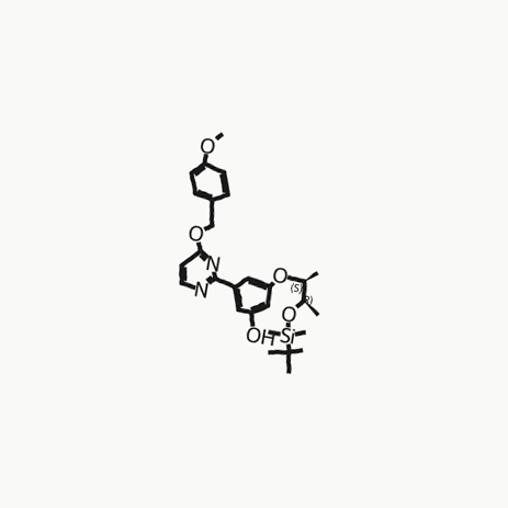 COc1ccc(COc2ccnc(-c3cc(O)cc(O[C@@H](C)[C@@H](C)O[Si](C)(C)C(C)(C)C)c3)n2)cc1